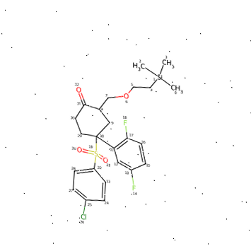 C[Si](C)(C)CCOCC1CC(c2cc(F)ccc2F)(S(=O)(=O)c2ccc(Cl)cc2)CCC1=O